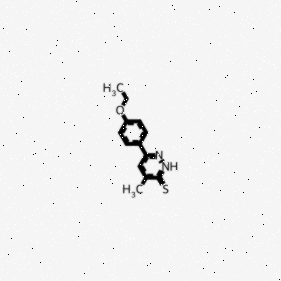 CCOc1ccc(-c2cc(C)c(=S)[nH]n2)cc1